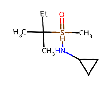 CCC(C)(C)[SH](C)(=O)NC1CC1